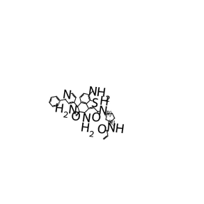 C=CC(=O)N[C@@H]1CC[C@@H](NC(=O)c2sc3c(N)ccc4c3c2C(N)C(=O)C4(N)c2ccnc(-c3ccccc3)c2)C1